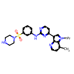 CCCn1cc(-c2ccnc(Nc3cccc(S(=O)(=O)N4CCNCC4)c3)n2)c2nccc(C)c21